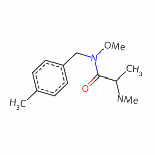 CNC(C)C(=O)N(Cc1ccc(C)cc1)OC